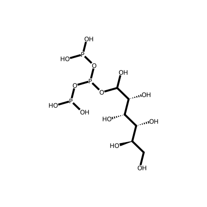 OC[C@@H](O)[C@@H](O)[C@H](O)[C@@H](O)C(O)OP(OP(O)O)OP(O)O